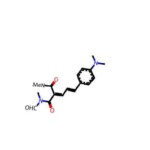 CNC(=O)/C(=C\C=C\c1ccc(N(C)C)cc1)C(=O)N(C)C=O